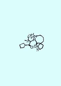 C[C@@H](O)C(C(=O)N1CCCC1)N1NCCCC2(CCCN2)C1=O